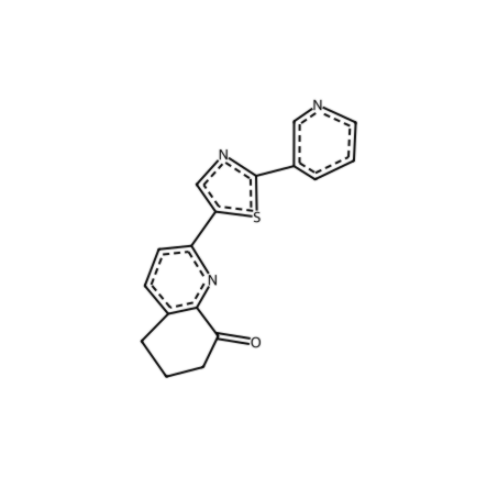 O=C1CCCc2ccc(-c3cnc(-c4cccnc4)s3)nc21